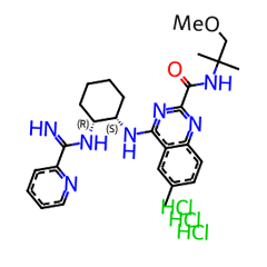 COCC(C)(C)NC(=O)c1nc(N[C@H]2CCCC[C@H]2NC(=N)c2ccccn2)c2cc(C)ccc2n1.Cl.Cl.Cl